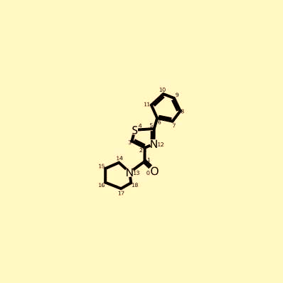 O=C(c1csc(-c2ccccc2)n1)N1CCCCC1